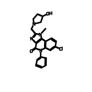 Cn1c(CN2CCC(O)C2)nc2c(=O)n(-c3ccccc3)c3cc(Cl)ccc3c21